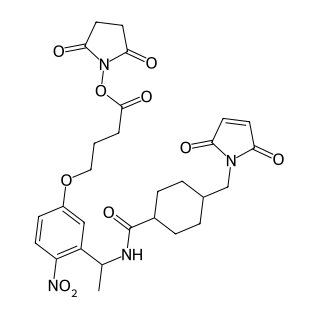 CC(NC(=O)C1CCC(CN2C(=O)C=CC2=O)CC1)c1cc(OCCCC(=O)ON2C(=O)CCC2=O)ccc1[N+](=O)[O-]